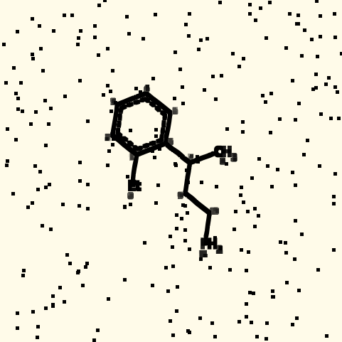 CCc1ccccc1C(C)CCP